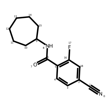 N#Cc1ccc(C(=O)NC2CCCCCC2)c(F)c1